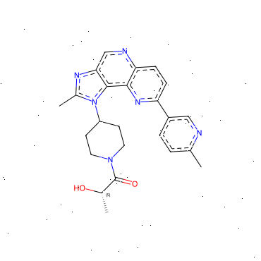 Cc1ccc(-c2ccc3ncc4nc(C)n(C5CCN(C(=O)[C@H](C)O)CC5)c4c3n2)cn1